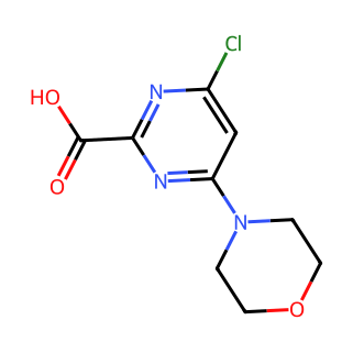 O=C(O)c1nc(Cl)cc(N2CCOCC2)n1